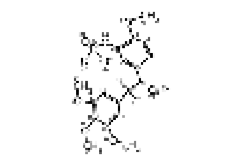 COc1ccc(CC(F)(F)c2cc(OC)c(OC)c(OC)c2)cc1OP(=O)([O-])[O-].[Ca+2]